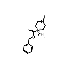 C[N+]1(C(=O)OCc2ccccc2)CCN(I)CC1